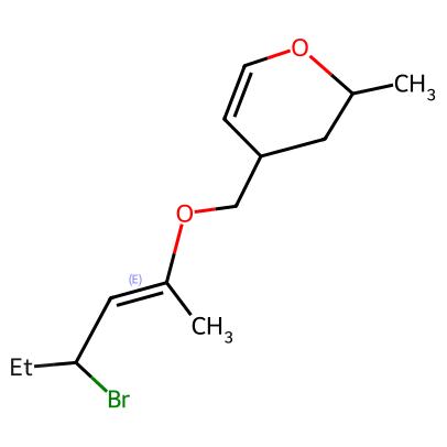 CCC(Br)/C=C(\C)OCC1C=COC(C)C1